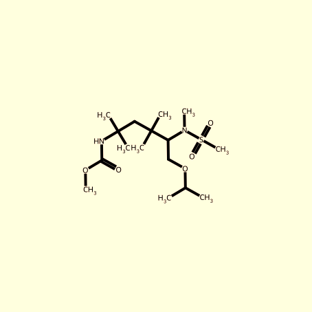 COC(=O)NC(C)(C)CC(C)(C)C(COC(C)C)N(C)S(C)(=O)=O